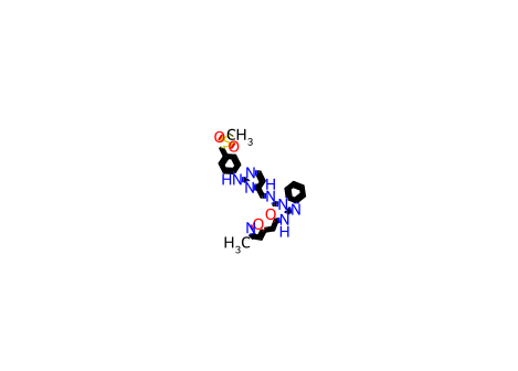 Cc1cc(CC(=O)Nc2nc3ccccc3n2CNCc2ccnc(Nc3ccc(CS(C)(=O)=O)cc3)n2)on1